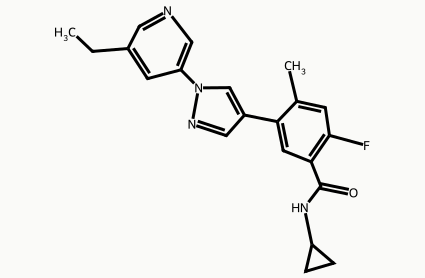 CCc1cncc(-n2cc(-c3cc(C(=O)NC4CC4)c(F)cc3C)cn2)c1